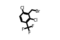 FC(F)(F)c1ccc(Cl)c(CBr)c1Cl